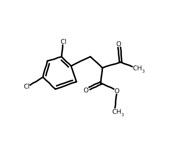 COC(=O)C(Cc1ccc(Cl)cc1Cl)C(C)=O